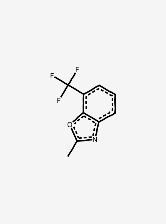 Cc1nc2cccc(C(F)(F)F)c2o1